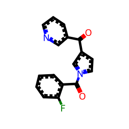 O=C(c1cccnc1)c1ccn(C(=O)c2ccccc2F)c1